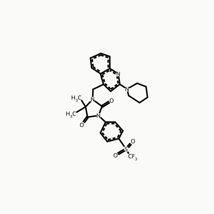 CC1(C)C(=O)N(c2ccc(S(=O)(=O)C(F)(F)F)cc2)C(=O)N1Cc1cc(N2CCCCC2)nc2ccccc12